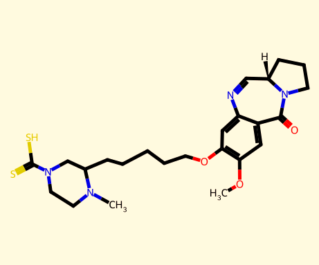 COc1cc2c(cc1OCCCCCC1CN(C(=S)S)CCN1C)N=C[C@@H]1CCCN1C2=O